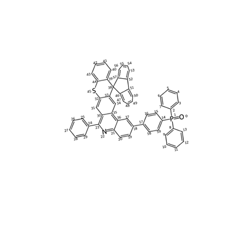 O=P(c1ccccc1)(c1ccccc1)c1ccc(-c2ccc3nc(-c4ccccc4)c4cc5c(cc4c3c2)C2(c3ccccc3S5)c3ccccc3-c3ccccc32)cc1